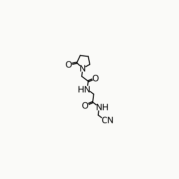 N#CCNC(=O)CNC(=O)CN1CCCC1=O